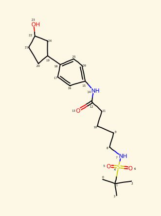 CC(C)(C)S(=O)(=O)NCCCCC(=O)Nc1ccc(C2CCC(O)C2)cc1